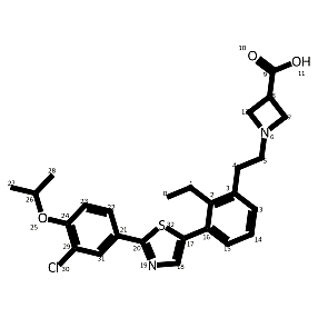 CCc1c(CCN2CC(C(=O)O)C2)cccc1-c1cnc(-c2ccc(OC(C)C)c(Cl)c2)s1